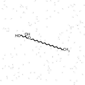 CCCCCCCCCCCCCCCCCCOCC(O)CCO